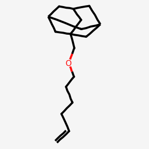 C=CCCCCOCC12CC3CC(CC(C3)C1)C2